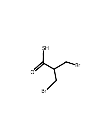 O=C(S)C(CBr)CBr